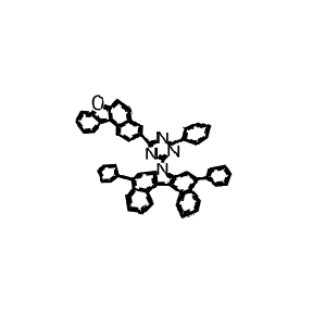 c1ccc(-c2nc(-c3ccc4c(ccc5oc6ccccc6c54)c3)nc(-n3c4cc(-c5ccccc5)c5ccccc5c4c4c5ccccc5c(-c5ccccc5)cc43)n2)cc1